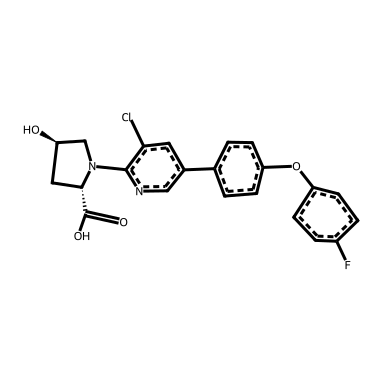 O=C(O)[C@@H]1C[C@@H](O)CN1c1ncc(-c2ccc(Oc3ccc(F)cc3)cc2)cc1Cl